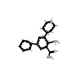 NC(=O)c1cc(-c2ccccc2)cc(-c2ccncc2)c1N